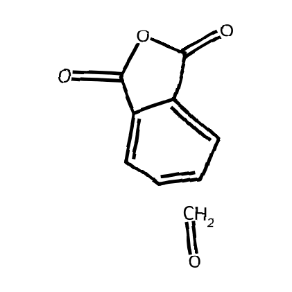 C=O.O=C1OC(=O)c2ccccc21